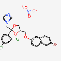 Clc1ccc(C2(Cn3ccnc3)OCC(COc3ccc4cc(Br)ccc4c3)O2)c(Cl)c1.O=[N+]([O-])O